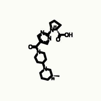 C[C@@H]1CCCN(C2CCN(C(=O)c3cnc(N4CCC[C@@H]4C(=O)O)nc3)CC2)C1